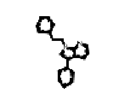 c1ccc(CCn2cc(-c3ccccc3)c3cccnc32)cc1